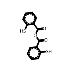 O=C(OC(=O)c1ccccc1S)c1ccccc1S